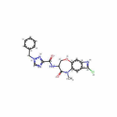 CN1C(=O)C(NC(=O)c2ncn(Cc3ccccc3)n2)COc2cc3c(cc21)C(Cl)=N3